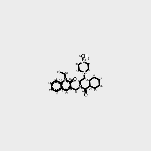 CN1CCN(CCN(Cc2cc3ccccc3n(CI)c2=O)C(=O)C2CCCCC2)CC1